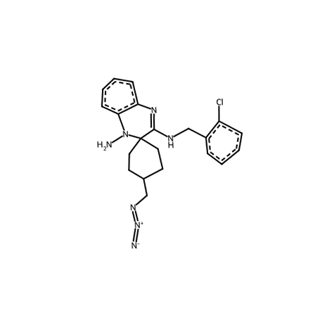 [N-]=[N+]=NCC1CCC2(CC1)C(NCc1ccccc1Cl)=Nc1ccccc1N2N